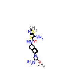 CO[C@H]1CN(c2ccc3c(c2)CC[C@H](NC(=O)c2sc4nc(C)sc4c2N)C3)C[C@@H]1N